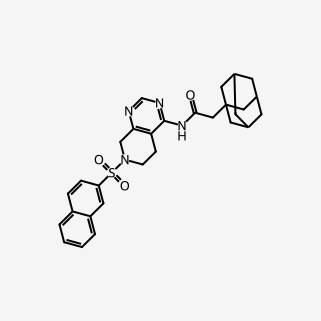 O=C(CC12CC3CC(CC(C3)C1)C2)Nc1ncnc2c1CCN(S(=O)(=O)c1ccc3ccccc3c1)C2